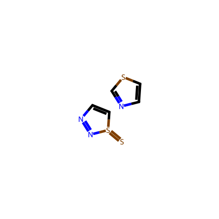 S=S1C=CN=N1.c1cscn1